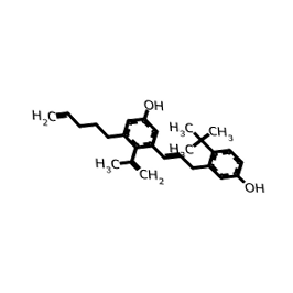 C=CCCCc1cc(O)cc(/C=C/Cc2cc(O)ccc2C(C)(C)C)c1C(=C)C